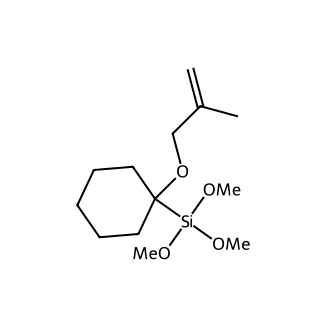 C=C(C)COC1([Si](OC)(OC)OC)CCCCC1